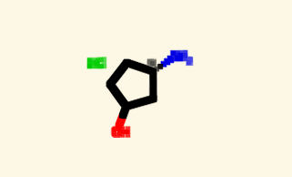 Cl.N[C@H]1CCC(O)C1